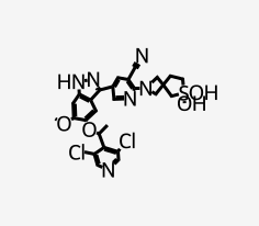 COc1cc2[nH]nc(-c3cnc(N4CC5(CCS(O)(O)C5)C4)c(C#N)c3)c2cc1OC(C)c1c(Cl)cncc1Cl